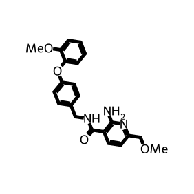 COCc1ccc(C(=O)NCc2ccc(Oc3ccccc3OC)cc2)c(N)n1